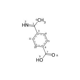 CC(=N)c1ccc(C(=O)O)cc1